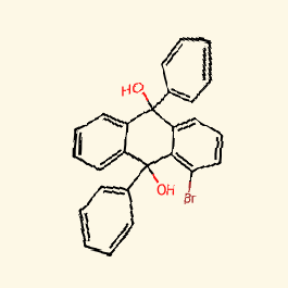 OC1(c2ccccc2)c2ccccc2C(O)(c2ccccc2)c2c(Br)cccc21